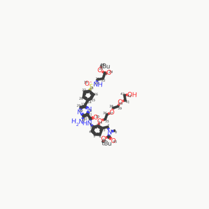 CN(Cc1cccc(NC(=O)c2nc(-c3ccc([S+]([O-])NCCC(=O)OC(C)(C)C)cc3)cnc2N)c1OCCOCCOCCO)C(=O)OC(C)(C)C